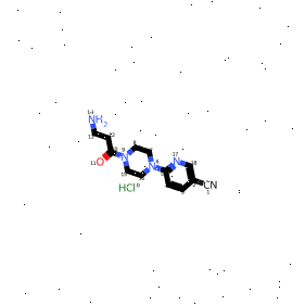 Cl.N#Cc1ccc(N2CCN(C(=O)CCN)CC2)nc1